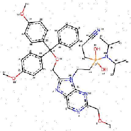 COCc1ncc2nc(COC(c3ccccc3)(c3ccc(OC)cc3)c3ccc(OC)cc3)n(CCP(O)(O)(CCC#N)N(C(C)C)C(C)C)c2n1